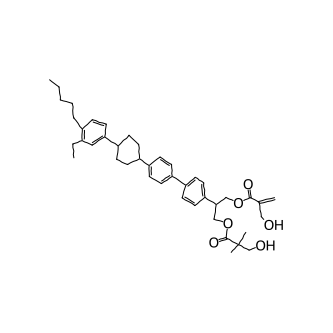 C=C(CO)C(=O)OCC(COC(=O)C(C)(C)CO)c1ccc(-c2ccc(C3CCC(c4ccc(CCCCC)c(CC)c4)CC3)cc2)cc1